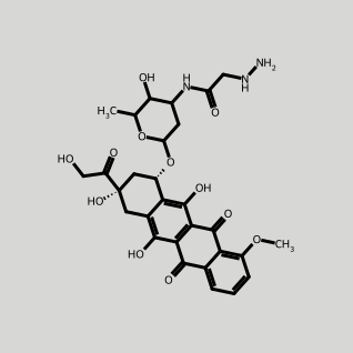 COc1cccc2c1C(=O)c1c(O)c3c(c(O)c1C2=O)C[C@@](O)(C(=O)CO)C[C@@H]3OC1CC(NC(=O)CNN)C(O)C(C)O1